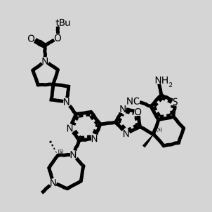 C[C@H]1CN(C)CCCN1c1nc(-c2noc([C@@]3(C)CCCc4sc(N)c(C#N)c43)n2)cc(N2CC3(CCN(C(=O)OC(C)(C)C)C3)C2)n1